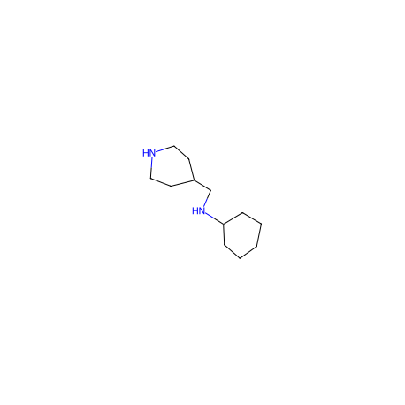 C1CCC(NCC2CCNCC2)CC1